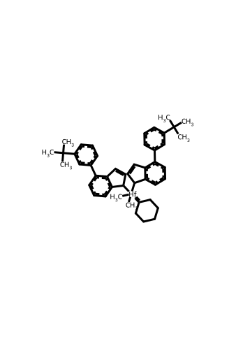 CC(C)(C)c1cccc(-c2cccc3c2C=C[CH]3[Hf]([CH3])([CH3])(=[C]2CCCCC2)[CH]2C=Cc3c(-c4cccc(C(C)(C)C)c4)cccc32)c1